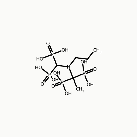 CCCN(C(P(=O)(O)O)P(=O)(O)O)C(C)(P(=O)(O)O)P(=O)(O)O